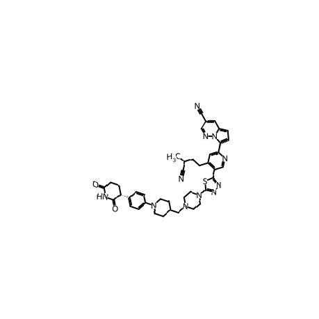 C[C@H](C#N)CCc1cc(-c2ccc3cc(C#N)cnn23)ncc1-c1nnc(N2CCN(CC3CCN(c4ccc([C@H]5CCC(=O)NC5=O)cc4)CC3)CC2)s1